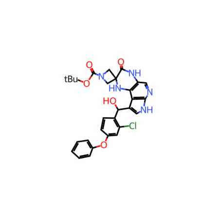 CC(C)(C)OC(=O)N1CC2(C1)Nc1c(cnc3[nH]cc(C(O)c4ccc(Oc5ccccc5)cc4Cl)c13)NC2=O